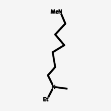 CCN(C)CCCCCCNC